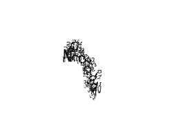 Cc1cc2c(cc1-c1cc3c(cc1C)-c1cc(-c4cncc5c4C=CCC5)c(C)cc1C3(C)C)C(C)(C)c1ccccc1-2